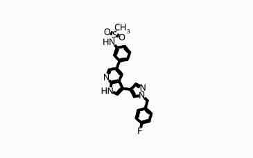 CS(=O)(=O)Nc1cccc(-c2cnc3[nH]cc(-c4cnn(Cc5ccc(F)cc5)c4)c3c2)c1